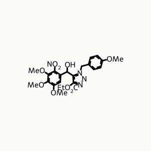 CCOC(=O)c1nnn(Cc2ccc(OC)cc2)c1C(O)c1cc(OC)c(OC)c(OC)c1[N+](=O)[O-]